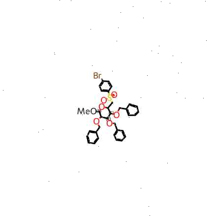 CO[C@H]1OC(CS(=O)(=O)c2ccc(Br)cc2)[C@@H](OCc2ccccc2)[C@@H](OCc2ccccc2)C1OCc1ccccc1